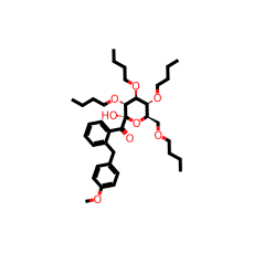 CCCCOC[C@H]1O[C@@](O)(C(=O)c2ccccc2Cc2ccc(OC)cc2)[C@H](OCCCC)[C@@H](OCCCC)[C@@H]1OCCCC